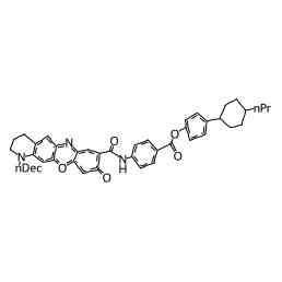 CCCCCCCCCCN1CCCc2cc3nc4cc(C(=O)Nc5ccc(C(=O)Oc6ccc(C7CCC(CCC)CC7)cc6)cc5)c(=O)cc-4oc3cc21